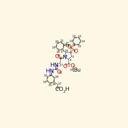 CC(C)(C)OC(=O)C1CC(S(=O)(=O)c2ccccc2)C(c2ccccc2F)N1C(=O)CNC(=O)Nc1cccc(CC(=O)O)c1